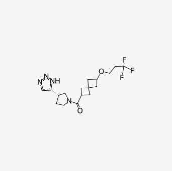 O=C(C1CC2(CC(OCCC(F)(F)F)C2)C1)N1CC[C@H](c2cnn[nH]2)C1